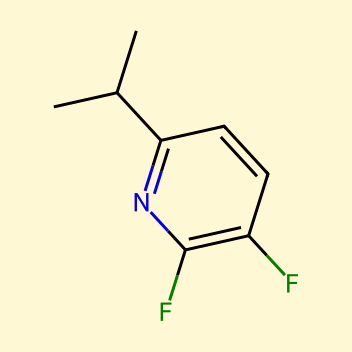 CC(C)c1ccc(F)c(F)n1